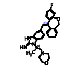 C[C@H](CN1CCOCC1)n1c(=N)[nH]c2cc(/C=C3\c4ccccc4COc4cc(F)ccc43)ccc21